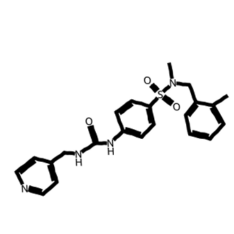 Cc1ccccc1CN(C)S(=O)(=O)c1ccc(NC(=O)NCc2ccncc2)cc1